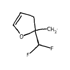 [CH2]C1(C(F)F)CC=CO1